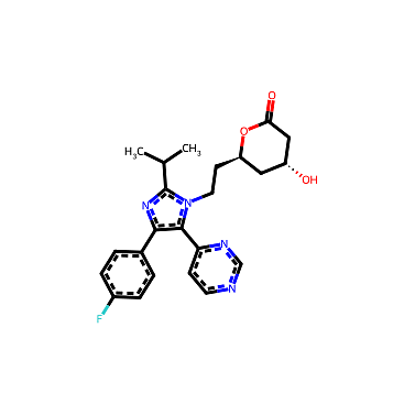 CC(C)c1nc(-c2ccc(F)cc2)c(-c2ccncn2)n1CC[C@@H]1C[C@@H](O)CC(=O)O1